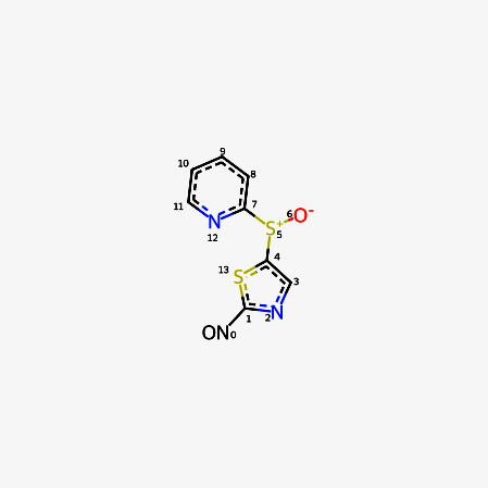 O=Nc1ncc([S+]([O-])c2ccccn2)s1